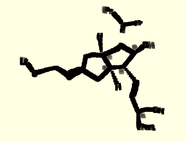 CC(C)NC(C)C.CCCCC[C@H](O)C=C[C@@H]1[C@H]2CC(=CCOCC)C[C@H]2C[C@H]1O